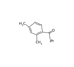 Cc1ccc(C(=O)C(C)C)c(C)c1